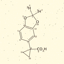 [2H]C1([2H])Oc2ccc(C3(C(=O)O)CC3)cc2O1